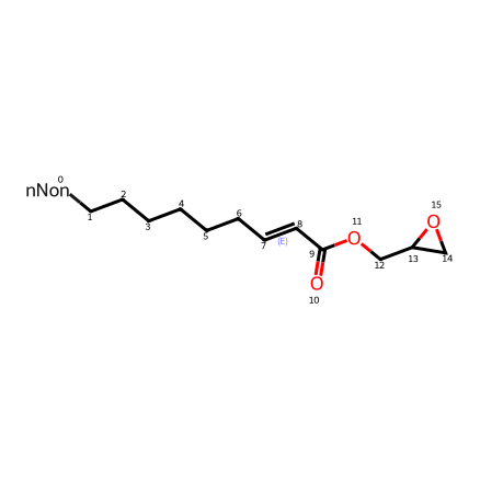 CCCCCCCCCCCCCCC/C=C/C(=O)OCC1CO1